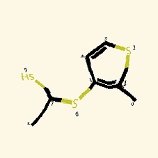 Cc1sccc1SC(C)S